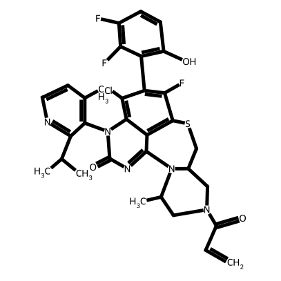 C=CC(=O)N1CC(C)N2c3nc(=O)n(-c4c(C)ccnc4C(C)C)c4c(Cl)c(-c5c(O)ccc(F)c5F)c(F)c(c34)SCC2C1